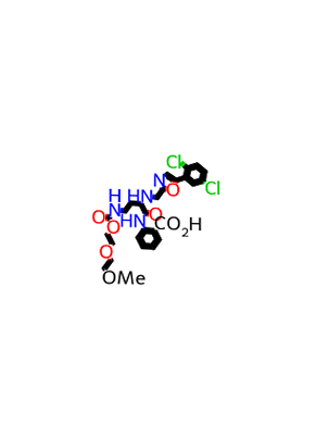 COCCOCCOC(=O)NCCC(NCc1ncc(-c2cc(Cl)ccc2Cl)o1)C(=O)Nc1ccccc1C(=O)O